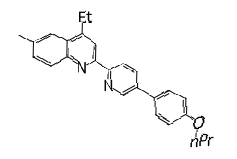 CCCOc1ccc(-c2ccc(-c3cc(CC)c4cc(C)ccc4n3)nc2)cc1